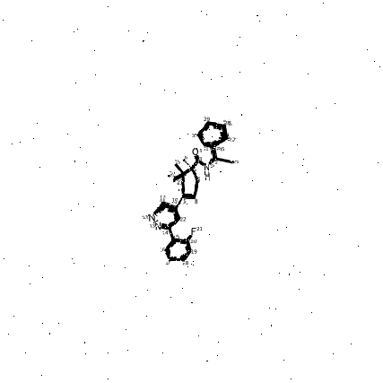 CC(NC(=O)[C@]1(C)CC[C@@H](c2cnnc(-c3ccccc3F)c2)C1(C)C)c1ccccc1